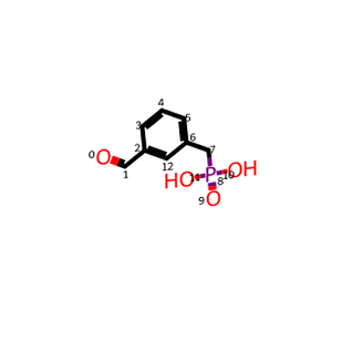 O=Cc1cccc(CP(=O)(O)O)c1